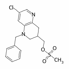 CS(=O)(=O)OCC1Cc2ncc(Cl)cc2N(Cc2ccccc2)C1